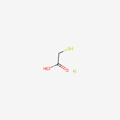 O=C(O)CS.[S]